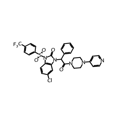 O=C(C(c1ccccc1)n1c(=O)n(S(=O)(=O)c2ccc(C(F)(F)F)cc2)c2ccc(Cl)cc21)N1CCN(c2ccncc2)CC1